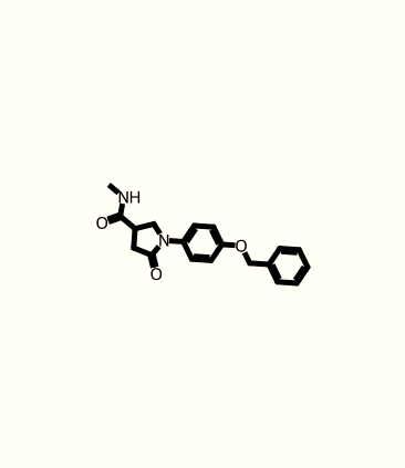 CNC(=O)C1CC(=O)N(c2ccc(OCc3ccccc3)cc2)C1